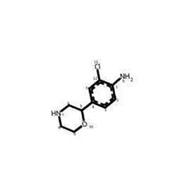 Nc1ccc(C2CNCCO2)cc1Cl